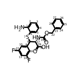 Nc1ccccc1SC(c1cc(F)cc(F)c1)[C@H](NC(=O)OCc1ccccc1)C(=O)O